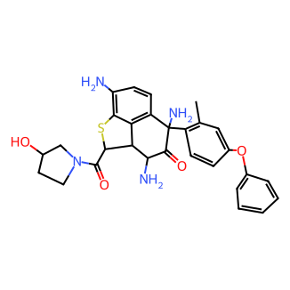 Cc1cc(Oc2ccccc2)ccc1C1(N)C(=O)C(N)C2c3c1ccc(N)c3SC2C(=O)N1CCC(O)C1